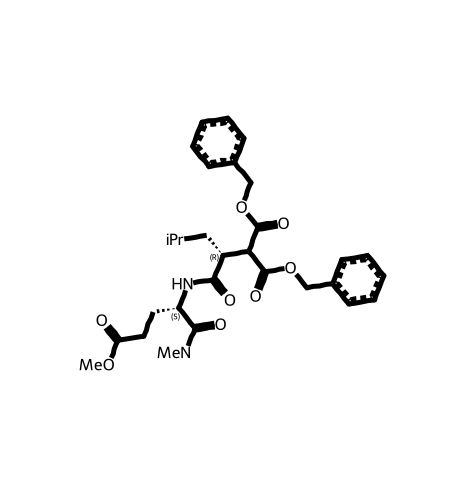 CNC(=O)[C@H](CCC(=O)OC)NC(=O)[C@H](CC(C)C)C(C(=O)OCc1ccccc1)C(=O)OCc1ccccc1